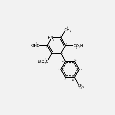 CCOC(=O)C1=C(C=O)NC(C)=C(C(=O)O)C1c1ccc(C(F)(F)F)cc1